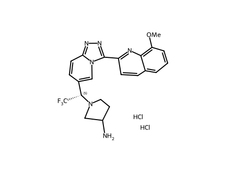 COc1cccc2ccc(-c3nnc4ccc([C@H](N5CCC(N)C5)C(F)(F)F)cn34)nc12.Cl.Cl